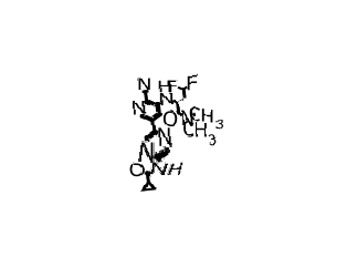 CN(C)C(=O)[C@@H](CC(F)F)Nc1cc(-c2cnc(NC(=O)C3CC3)cn2)cnc1C#N